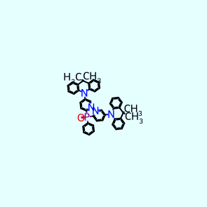 CC1(C)c2ccccc2N(c2ccc(P(=O)(c3ccccc3)c3ccc(N4c5ccccc5C(C)(C)c5ccccc54)cn3)nc2)c2ccccc21